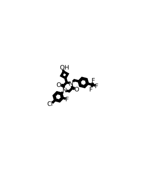 O=C1C(C2CC(O)C2)N(Cc2ccc(C(F)(F)F)cc2)C(=O)CN1c1ccc(Cl)cc1F